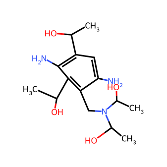 CC(O)c1cc(N)c(CN(C(C)O)C(C)O)c(C(C)O)c1N